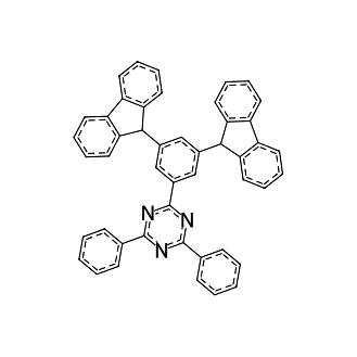 c1ccc(-c2nc(-c3ccccc3)nc(-c3cc(C4c5ccccc5-c5ccccc54)cc(C4c5ccccc5-c5ccccc54)c3)n2)cc1